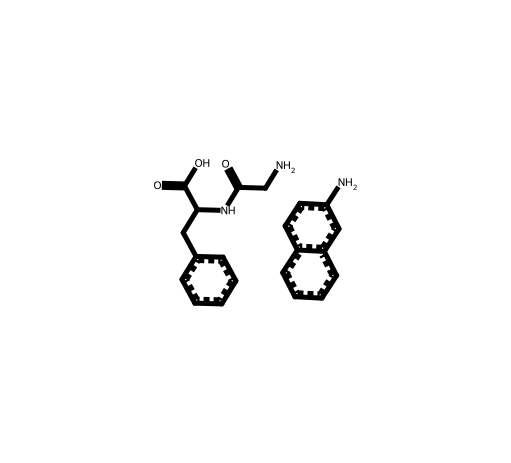 NCC(=O)NC(Cc1ccccc1)C(=O)O.Nc1ccc2ccccc2c1